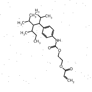 C=CC(=O)OCCOC(=O)Nc1ccc(C(C(C)C)C(C(C)C)C(C)CC)cc1